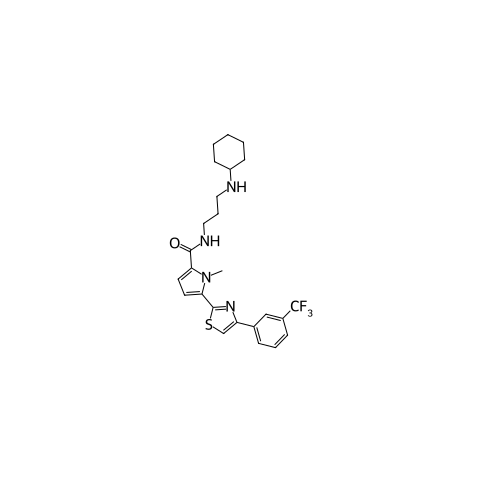 Cn1c(C(=O)NCCCNC2CCCCC2)ccc1-c1nc(-c2cccc(C(F)(F)F)c2)cs1